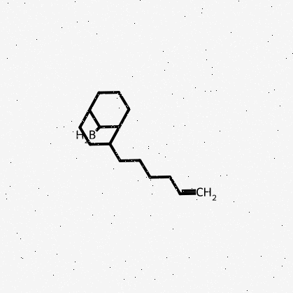 BC1C2CCCC1C(CCCCC=C)CC2